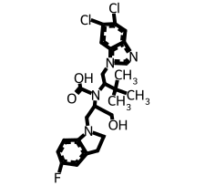 CC(C)(C)C(Cn1cnc2cc(Cl)c(Cl)cc21)N(C(=O)O)C(CO)CN1CCc2cc(F)ccc21